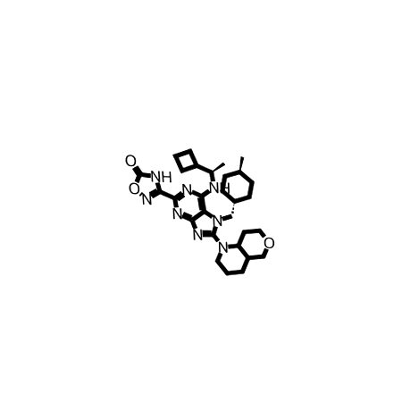 C[C@@H](Nc1nc(-c2noc(=O)[nH]2)nc2nc(N3CCCC4COCCC43)n(C[C@H]3CC[C@H](C)CC3)c12)C1CCC1